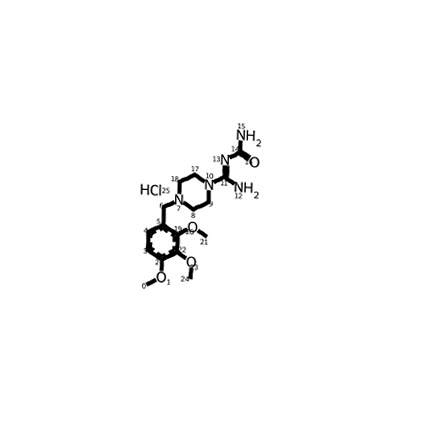 COc1ccc(CN2CCN(C(N)=NC(N)=O)CC2)c(OC)c1OC.Cl